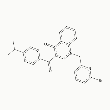 CC(C)c1ccc(C(=O)c2cn(Cc3cccc(Br)n3)c3ccccc3c2=O)cc1